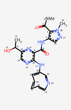 CNC(=O)c1c(NC(=O)c2nc(C(C)O)cnc2NC2=C/C=C/C=C/N=C\2)cnn1C